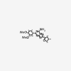 COc1ccc(-c2nc(N)n3nc(-c4ccco4)nc3n2)cc1OC